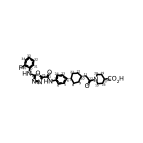 O=C(Nc1ccc([C@H]2CC[C@H](CC(=O)N3CCC(C(=O)O)CC3)CC2)cc1)c1nnc(Nc2ccccc2F)o1